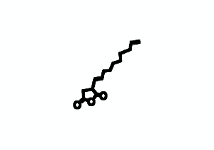 C=CCCCCCCC=CC1CC(=O)OC1=O